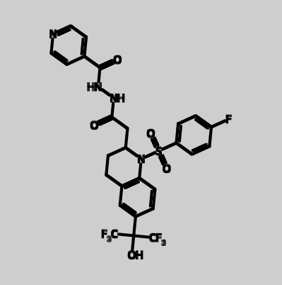 O=C(CC1CCc2cc(C(O)(C(F)(F)F)C(F)(F)F)ccc2N1S(=O)(=O)c1ccc(F)cc1)NNC(=O)c1ccncc1